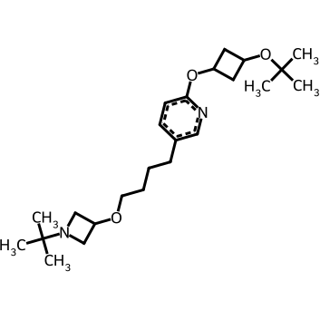 CC(C)(C)OC1CC(Oc2ccc(CCCCOC3CN(C(C)(C)C)C3)cn2)C1